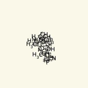 CC(C)c1nc2c(c(C3=CCOCC3)c1C(O)c1ccc(C(F)(F)F)c(C#N)c1)[C@@H](O[Si](C)(C)C(C)(C)C)CC(C)(C)C2